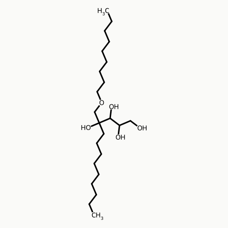 CCCCCCCCCOCC(O)(CCCCCCCCC)C(O)C(O)CO